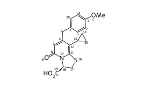 COc1ccc(Cc2cc(=O)n3c(c2C2CC2)SC[C@H]3C(=O)O)cc1